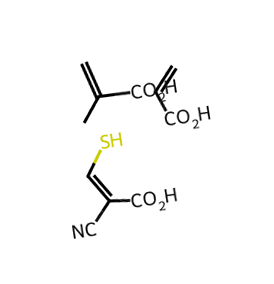 C=C(C)C(=O)O.C=CC(=O)O.N#CC(=CS)C(=O)O